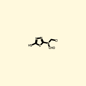 O=CN(CCl)c1nnc(S)s1